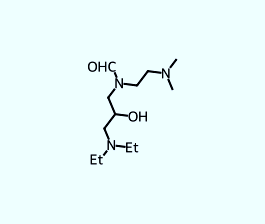 CCN(CC)CC(O)CN(C=O)CCN(C)C